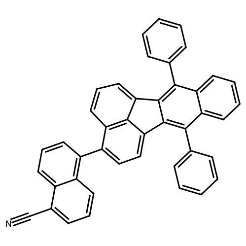 N#Cc1cccc2c(-c3ccc4c5c(cccc35)-c3c-4c(-c4ccccc4)c4ccccc4c3-c3ccccc3)cccc12